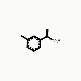 C=C(C(=O)O)c1c[c]cc(C)c1